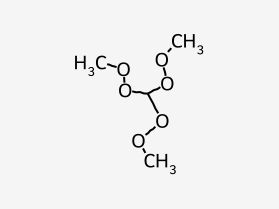 COOC(OOC)OOC